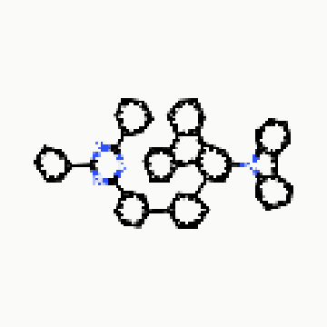 c1ccc(-c2nc(-c3ccccc3)nc(-c3cccc(-c4cccc(-c5cc(-n6c7ccccc7c7ccccc76)cc6c7ccccc7c7ccccc7c56)c4)c3)n2)cc1